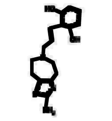 Nc1nc2c(s1)CCN(CC=Cc1c(O)cccc1O)CC2